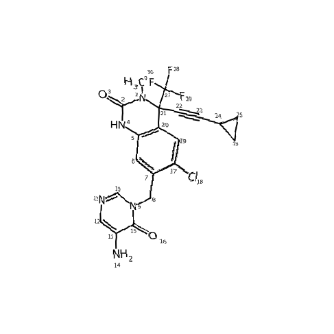 CN1C(=O)Nc2cc(Cn3cncc(N)c3=O)c(Cl)cc2C1(C#CC1CC1)C(F)(F)F